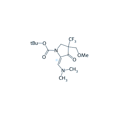 COCC1(C(F)(F)F)CN(C(=O)OC(C)(C)C)/C(=C/N(C)C)C1=O